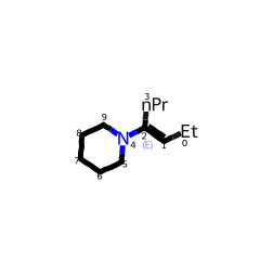 CC/C=C(\CCC)N1CCCCC1